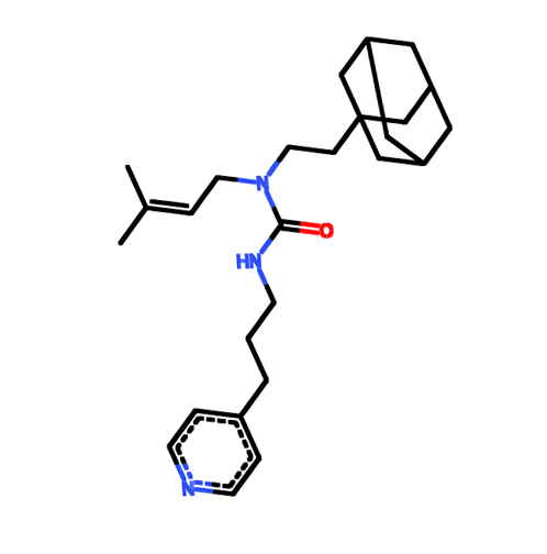 CC(C)=CCN(CCC12CC3CC(CC(C3)C1)C2)C(=O)NCCCc1ccncc1